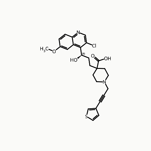 COc1ccc2ncc(Cl)c([C@H](O)CCC3(C(=O)O)CCN(CC#Cc4ccsc4)CC3)c2c1